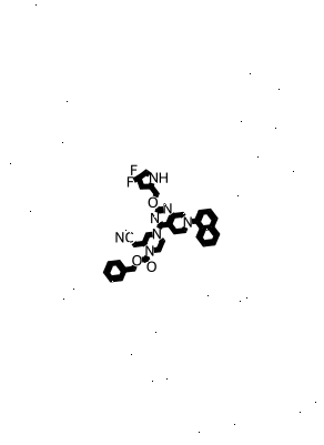 N#CCC1CN(c2nc(OCC3CC(F)(F)CN3)nc3c2CCN(c2cccc4ccccc24)C3)CCN1C(=O)OCc1ccccc1